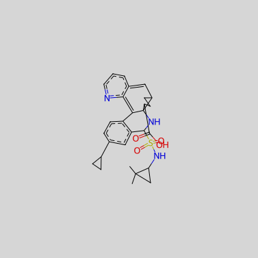 CC1(C)CC1NS(=O)(=O)C1NC23C(=CCC2C(=O)O)C=c2cccnc2=C3c2ccc(C3CC3)cc21